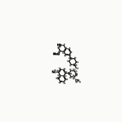 COC1CNCc2ccc(N3CCN(C[C@H]4CN(c5ccc(C#N)c6ncccc56)C[C@@H](C)O4)CC3)cc21